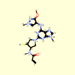 C=CC(=O)N(C)C1CN(c2nc(Nc3cn(C)nc3OC)c3ncn(C)c3n2)CC1F